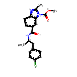 Cc1nc2ccc(C(=O)NC(Cc3ccc(Cl)cc3)C(=O)O)cc2n1C(=O)OC(C)(C)C